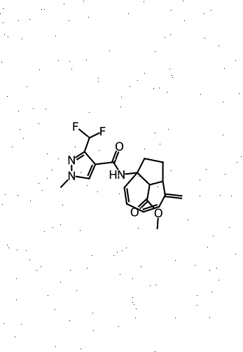 C=C1/C=C\C=CC2(NC(=O)c3cn(C)nc3C(F)F)CCC1C2C(=O)OC